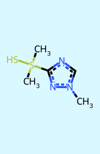 Cn1cnc(S(C)(C)S)n1